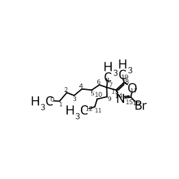 CCCCCCCC(C)(CCCC)c1nc(Br)oc1C